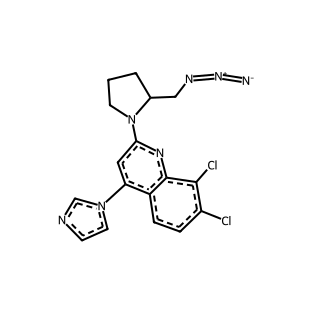 [N-]=[N+]=NCC1CCCN1c1cc(-n2ccnc2)c2ccc(Cl)c(Cl)c2n1